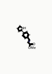 COC(=O)/C=C/c1ccc([C@H]2CCCN2)cc1